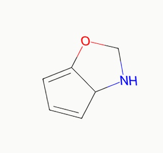 C1=CC2NCOC2=C1